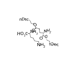 CCCCCCCCCCCCOC(=O)CC[C@H](N)C(=O)OCCCCCCCCCCCC.NCCCC[C@H](N)C(=O)O